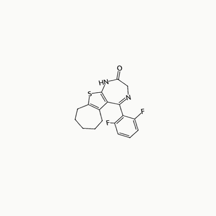 O=C1CN=C(c2c(F)cccc2F)c2c(sc3c2CCCCC3)N1